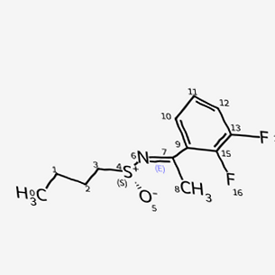 CCCC[S@@+]([O-])/N=C(\C)c1cccc(F)c1F